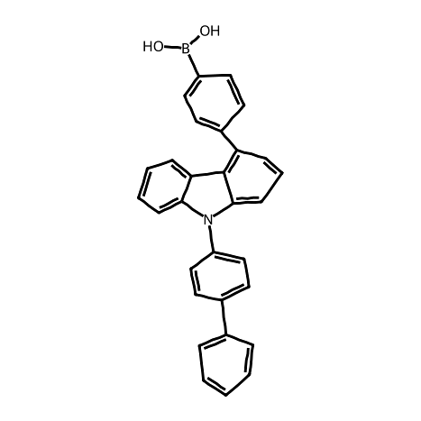 OB(O)c1ccc(-c2cccc3c2c2ccccc2n3-c2ccc(-c3ccccc3)cc2)cc1